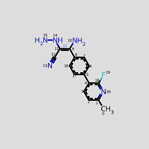 Cc1ccc(-c2ccc(/C(N)=C(\C#N)NN)cc2)c(F)n1